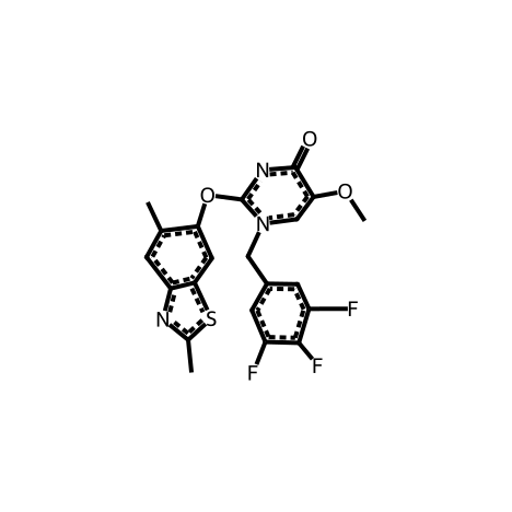 COc1cn(Cc2cc(F)c(F)c(F)c2)c(Oc2cc3sc(C)nc3cc2C)nc1=O